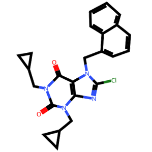 O=c1c2c(nc(Cl)n2Cc2cccc3ccccc23)n(CC2CC2)c(=O)n1CC1CC1